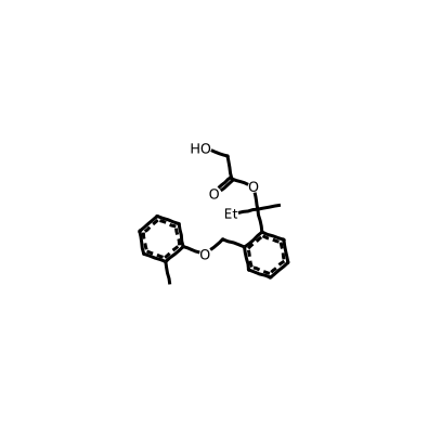 CCC(C)(OC(=O)CO)c1ccccc1COc1ccccc1C